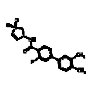 Cc1ccc(-c2ccc(C(=O)NC3C=CS(=O)(=O)C3)c(F)c2)cc1C